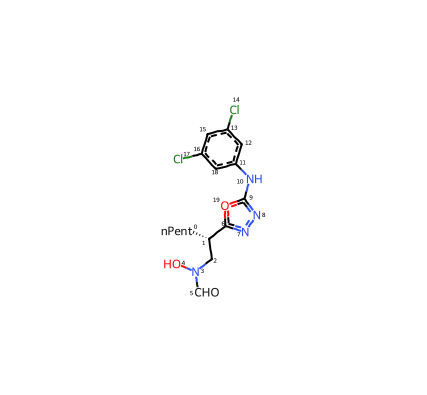 CCCCC[C@@H](CN(O)C=O)c1nnc(Nc2cc(Cl)cc(Cl)c2)o1